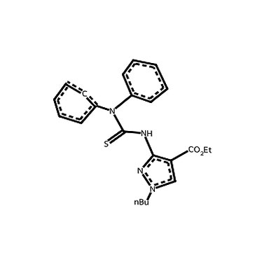 CCCCn1cc(C(=O)OCC)c(NC(=S)N(c2ccccc2)c2ccccc2)n1